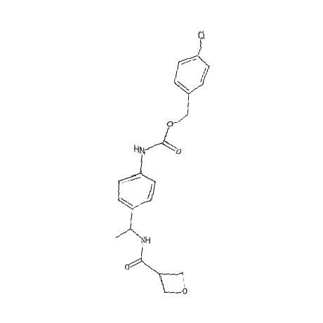 CC(NC(=O)C1COC1)c1ccc(NC(=O)OCc2ccc(Cl)cc2)cc1